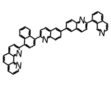 c1cc(-c2ccc3cc(-c4ccc5nc(-c6ccc(-c7ccc8ccc9cccnc9c8n7)c7ccccc67)ccc5c4)ccc3n2)c2cnccc2c1